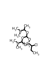 CCC(Cl)[SiH2]OC(OC(C)N(C)C)OC(C)N(C)C